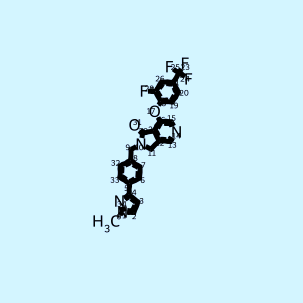 Cn1ccc(-c2ccc(CN3Cc4cncc(Oc5ccc(C(F)(F)F)cc5F)c4C3=O)cc2)n1